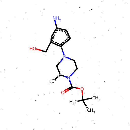 CC1CN(c2ccc(N)cc2CO)CCN1C(=O)OC(C)(C)C